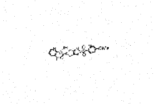 COc1ccc(S(=O)(=O)n2cc3c(n2)CN(C(=O)[C@@H](O)c2ncccc2F)C3)nc1